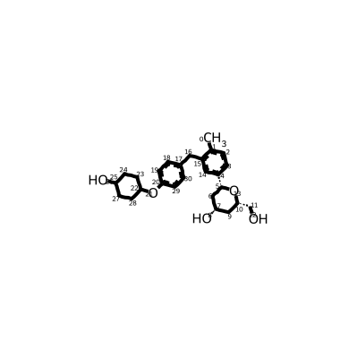 Cc1ccc([C@H]2C[C@@H](O)C[C@@H](CO)O2)cc1Cc1ccc(OC2CCC(O)CC2)cc1